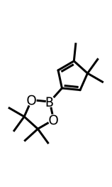 CC1=CC(B2OC(C)(C)C(C)(C)O2)=CC1(C)C